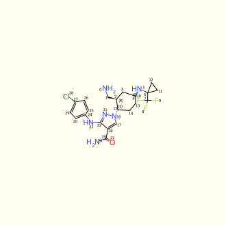 NC[C@H]1C[C@@H](NC2(C(F)(F)F)CC2)CC[C@@H]1n1cc(C(N)=O)c(Nc2ccc(Cl)cc2)n1